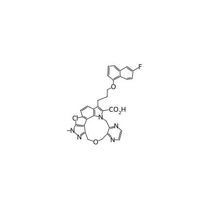 Cc1c2c(nn1C)COCc1nccnc1Cn1c(C(=O)O)c(CCCOc3cccc4cc(F)ccc34)c3ccc(Cl)c-2c31